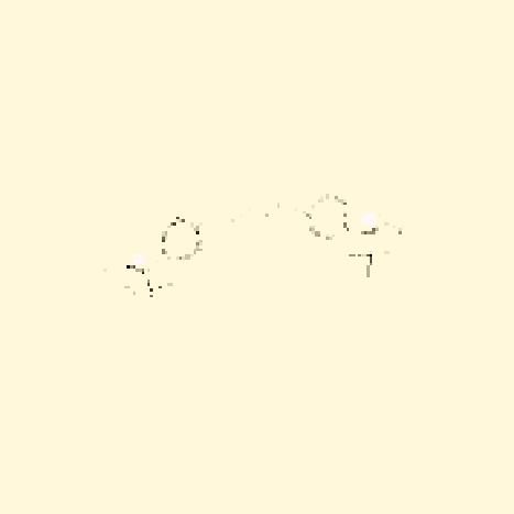 C/N=C(/c1ccc(OCCCOc2ccc(/C(=N/C)C(F)(F)F)cc2)cc1)C(F)(F)F